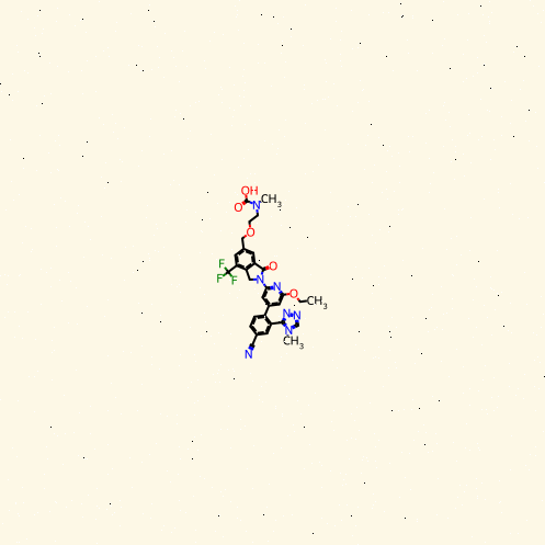 CCOc1cc(-c2ccc(C#N)cc2-c2nncn2C)cc(N2Cc3c(cc(COCCN(C)C(=O)O)cc3C(F)(F)F)C2=O)n1